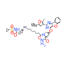 Cc1oc(C(C)(C)C)cc1-c1nc(O[C@@H]2C[C@@H](C(N)=O)N(C(=O)CCCCCC/C=C\[C@@H]3C[C@@H]3C(=O)NS(=O)(=O)C3CC3)C2)c2oc3ccccc3c2n1